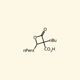 CCCCCC1OC(=O)C1(CCCC)C(=O)O